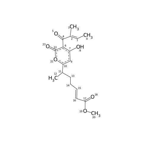 CC=C(C)C(=O)c1c(O)cc(C(C)CC/C=C/C(=O)OC)oc1=O